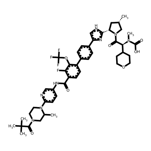 CC1CN(C(=O)C(C)(C)C)CCN1c1ccc(NC(=O)c2ccc(-c3ccc(-c4c[nH]c([C@@H]5C[C@H](C)CN5C(=O)[C@H](C5CCOCC5)N(C)C(=O)O)n4)cc3)c(OC(F)(F)F)c2F)cn1